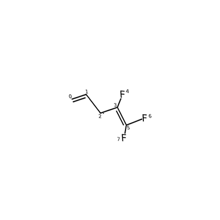 C=C[CH]C(F)=C(F)F